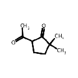 CC(=O)C1CCC(C)(C)C1=O